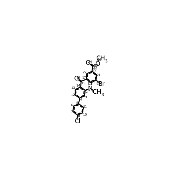 CNc1cc(-c2ccc(Cl)cc2)ccc1C(=O)c1cc(Br)cc(C(=O)OC)c1